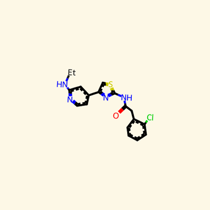 CCNc1cc(-c2csc(NC(=O)Cc3ccccc3Cl)n2)ccn1